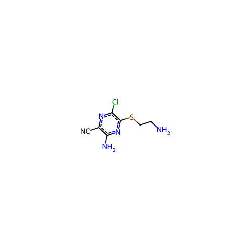 N#Cc1nc(Cl)c(SCCN)nc1N